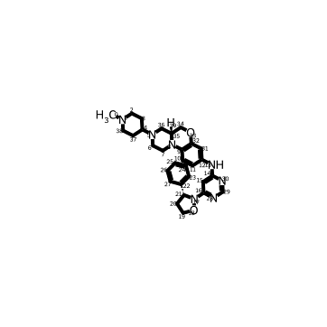 CN1CCC(N2CCN3c4ccc(Nc5cc(N6OCC[C@@H]6c6ccccc6)ncn5)cc4OC[C@H]3C2)CC1